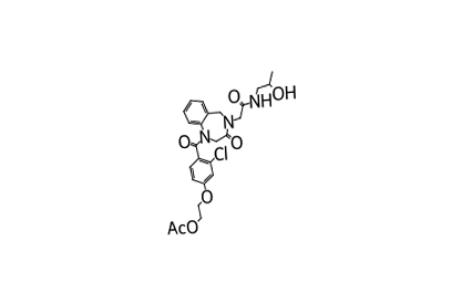 CC(=O)OCCOc1ccc(C(=O)N2CC(=O)N(CC(=O)NCC(C)O)Cc3ccccc32)c(Cl)c1